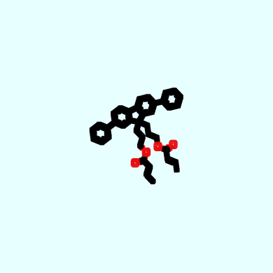 CC=CC(=O)OCCCC1(CCCOC(=O)C=CC)c2cc(-c3ccccc3)ccc2-c2ccc(-c3ccccc3)cc21